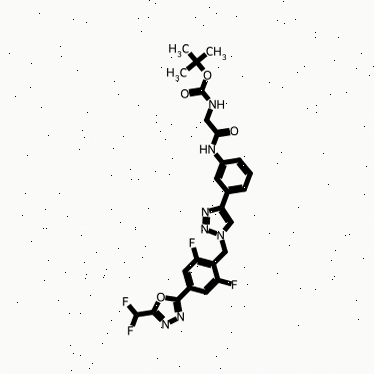 CC(C)(C)OC(=O)NCC(=O)Nc1cccc(-c2cn(Cc3c(F)cc(-c4nnc(C(F)F)o4)cc3F)nn2)c1